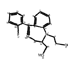 OCCN1c2ccccc2C(c2ccccc2F)=NCC1CO